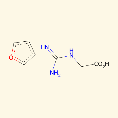 N=C(N)NCC(=O)O.c1ccoc1